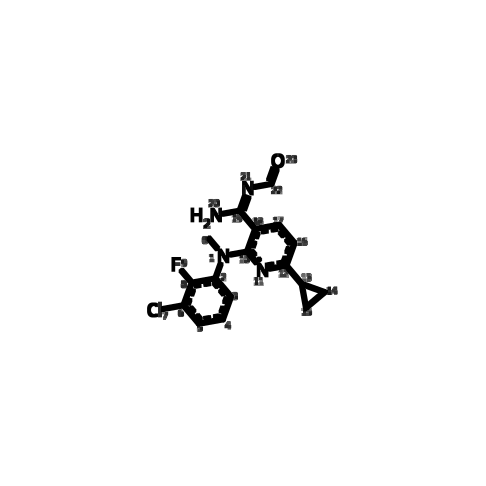 CN(c1cccc(Cl)c1F)c1nc(C2CC2)ccc1/C(N)=N\C=O